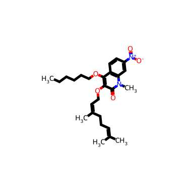 CCCCCCOc1c(OCC=C(C)CCC=C(C)C)c(=O)n(C)c2cc([N+](=O)[O-])ccc12